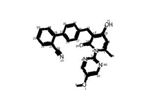 COc1cnc(-n2c(C)cc(O)c(Cc3ccc(-c4ccccc4C#N)cc3)c2=O)nc1